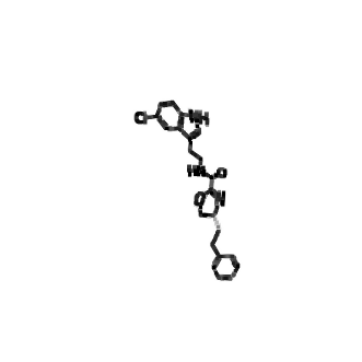 O=C(NCCc1c[nH]c2ccc(Cl)cc12)C1=N[C@H](CCc2ccccc2)CO1